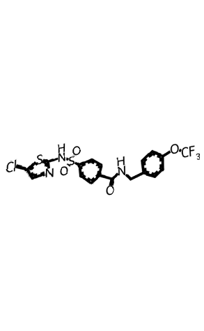 O=C(NCc1ccc(OC(F)(F)F)cc1)c1ccc(S(=O)(=O)Nc2ncc(Cl)s2)cc1